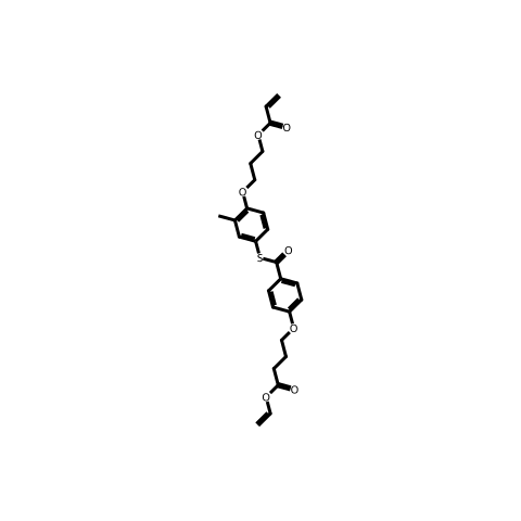 C=COC(=O)CCCOc1ccc(C(=O)Sc2ccc(OCCCOC(=O)C=C)c(C)c2)cc1